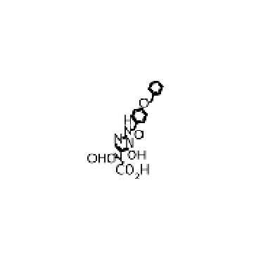 O=CN(CC(=O)O)c1cnc(NC(=O)c2ccc(OCc3ccccc3)cc2)nc1O